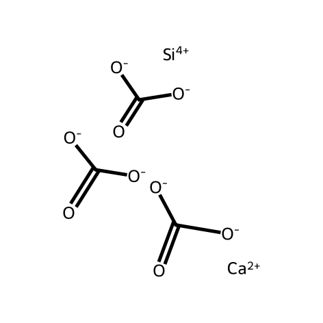 O=C([O-])[O-].O=C([O-])[O-].O=C([O-])[O-].[Ca+2].[Si+4]